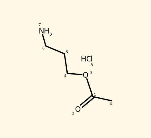 CC(=O)OCCCN.Cl